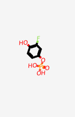 O=P(O)(O)Oc1ccc(O)c(F)c1